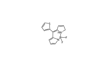 F[B-]1(F)n2cccc2C(c2cccs2)=C2C=CC[NH+]21